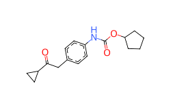 O=C(Nc1ccc(CC(=O)C2CC2)cc1)OC1CCCC1